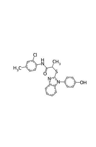 Cc1ccc(NC(=O)C(C)Sc2nc3ccccc3n2-c2ccc(O)cc2)c(Cl)c1